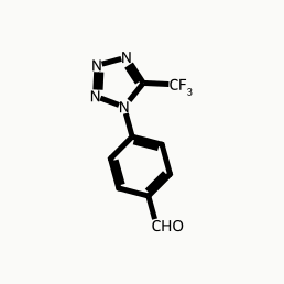 O=Cc1ccc(-n2nnnc2C(F)(F)F)cc1